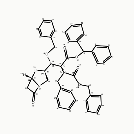 O=C(OC(c1ccccc1)c1ccccc1)[C@H]([C@@H](OCc1ccccc1)[C@H]1CN2C(=O)C[C@@H]2O1)N(Cc1ccccc1)C(=O)OCc1ccccc1